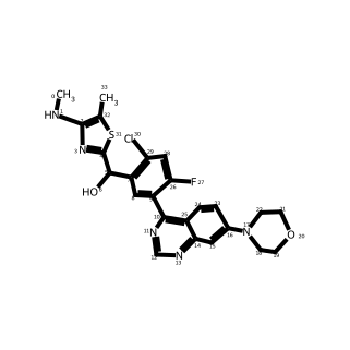 CNc1nc(C(O)c2cc(-c3ncnc4cc(N5CCOCC5)ccc34)c(F)cc2Cl)sc1C